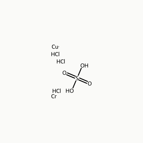 Cl.Cl.Cl.O=S(=O)(O)O.[Cr].[Cu]